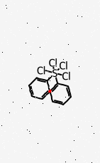 ClS(Cl)(Cl)(Cl)(c1ccccc1)c1ccccc1